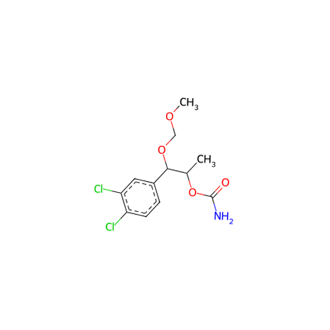 COCOC(c1ccc(Cl)c(Cl)c1)C(C)OC(N)=O